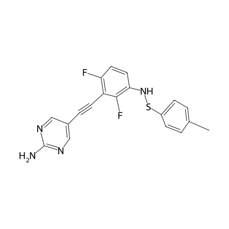 Cc1ccc(SNc2ccc(F)c(C#Cc3cnc(N)nc3)c2F)cc1